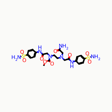 COC(=O)N(CCN(CC(N)=O)CC(=O)Nc1ccc(S(N)(=O)=O)cc1)CC(=O)Nc1ccc(S(N)(=O)=O)cc1